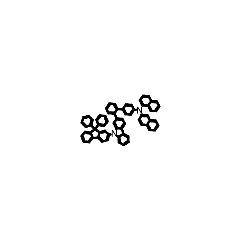 c1ccc(C2(c3ccccc3)c3ccccc3-c3ccc(-n4c5ccccc5c5ccc(-c6ccccc6-c6ccc(N(c7ccc8ccccc8c7)c7cccc8ccccc78)cc6)cc54)cc32)cc1